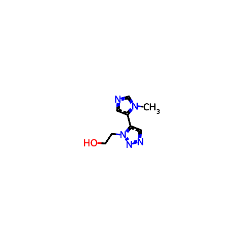 Cn1cncc1-c1cnnn1CCO